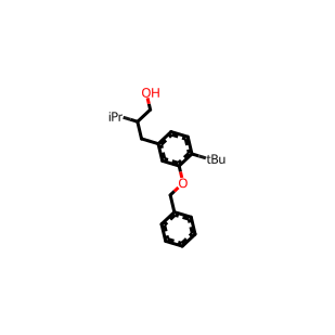 CC(C)C(CO)Cc1ccc(C(C)(C)C)c(OCc2ccccc2)c1